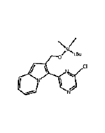 CC(C)(C)[Si](C)(C)OCc1cc2ccccn2c1-c1cncc(Cl)n1